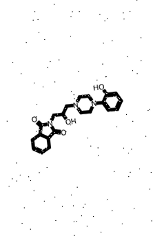 O=C1C2CC=CCC2C(=O)N1CC(O)CN1CCN(c2ccccc2O)CC1